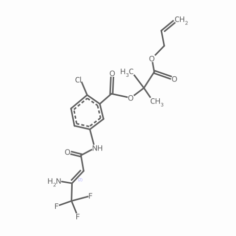 C=CCOC(=O)C(C)(C)OC(=O)c1cc(NC(=O)/C=C(\N)C(F)(F)F)ccc1Cl